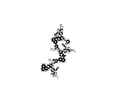 C=C(F)C(=O)N1CCN(c2nc(OC[C@@H]3CCCN3C)nc3c2CCN(c2cc(C4C[C@@H](COc5nc6c(c(N7CCN(C(=O)C(=C)F)[C@@H](CC#N)C7)n5)CCN(c5cc(C7C[C@@H](COc8nc9c(c(N%10CCN(C(=O)C(=C)F)[C@@H](CC#N)C%10)n8)CCN(c8cccc%10cccc(C(F)(F)F)c8%10)C9)N(C)C7)cc7cccc(C8CC8)c57)C6)N(C)C4)cc4cccc(C(C)C)c24)C3)C[C@@H]1CC#N